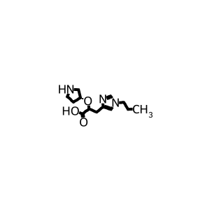 CCCn1cnc(CC(O[C@@H]2CCNC2)C(=O)O)c1